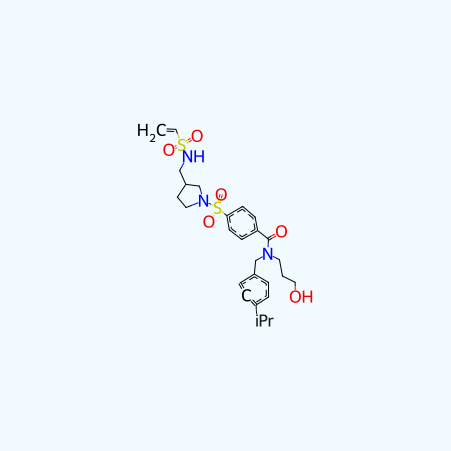 C=CS(=O)(=O)NCC1CCN(S(=O)(=O)c2ccc(C(=O)N(CCCO)Cc3ccc(C(C)C)cc3)cc2)C1